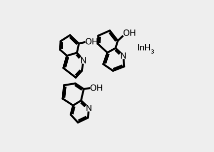 Oc1cccc2cccnc12.Oc1cccc2cccnc12.Oc1cccc2cccnc12.[InH3]